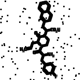 C=CCC1C(=O)N(C(Cc2ccc3ccccc3c2)C(=O)O)CCN1C(=O)C(N)Cc1ccc(F)cc1